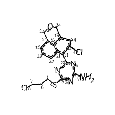 Nc1nc(SCCCCl)nc(-c2c(Cl)cc3c4c(cccc24)COC3)n1